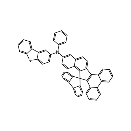 c1ccc(N(c2ccc3c4c(ccc3c2)-c2c(c3ccccc3c3ccccc23)C42c3ccccc3-c3ccccc32)c2ccc3sc4ccccc4c3c2)cc1